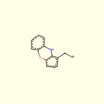 CC(C)Cc1cccc2c1Nc1ccccc1O2